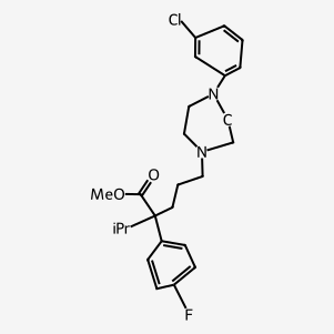 COC(=O)C(CCCN1CCN(c2cccc(Cl)c2)CC1)(c1ccc(F)cc1)C(C)C